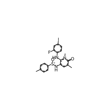 Cc1ccc([S+]([O-])Nc2cc(C)c(=O)n(C)c2Nc2ccc(I)cc2F)cc1